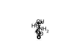 CC(C)[C@H](C[C@H](O)[C@@H](N)CN1CC(=O)N(c2ccccc2)CC1(C)C)C(=O)O